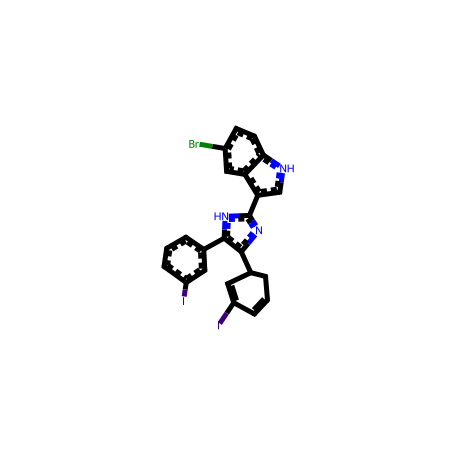 Brc1ccc2[nH]cc(-c3nc(C4C=C(I)C=CC4)c(-c4cccc(I)c4)[nH]3)c2c1